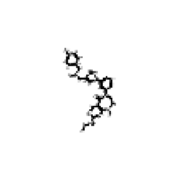 CCNc1ncc2c(n1)N(C)CCN(c1cccc(-n3cc(CN(C)Cc4ccc(F)cc4)nn3)c1)C2=O